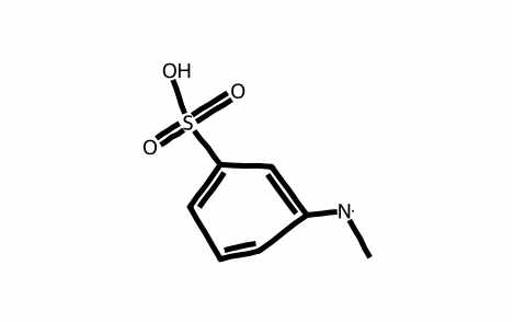 C[N]c1cccc(S(=O)(=O)O)c1